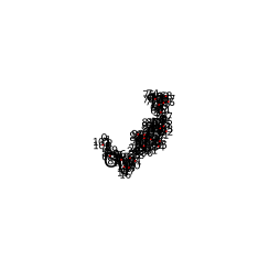 c1ccc(-c2ccc3oc4cc(-n5c6ccccc6c6ccc(-c7ccc8c(c7)c7ccc(-c9ccccc9-c9cccc%10c9oc9c(-n%11c%12ccccc%12c%12ccc(-c%13ccc%14c(c%13)c%13ccccc%13n%14-c%13ccccc%13)cc%12%11)cccc9%10)cc7n8-c7ccccc7)cc65)ccc4c3c2)cc1